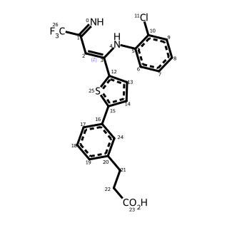 N=C(/C=C(\Nc1ccccc1Cl)c1ccc(-c2cccc(CCC(=O)O)c2)s1)C(F)(F)F